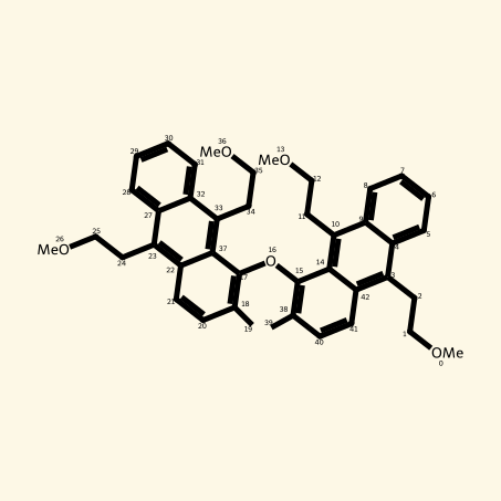 COCCc1c2ccccc2c(CCOC)c2c(Oc3c(C)ccc4c(CCOC)c5ccccc5c(CCOC)c34)c(C)ccc12